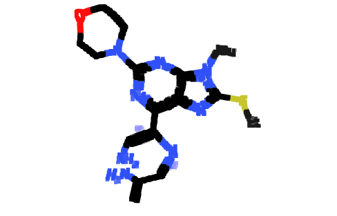 C=C(N)/C=N\C(=C/N)c1nc(N2CCOCC2)nc2c1nc(SCC)n2C(C)CC